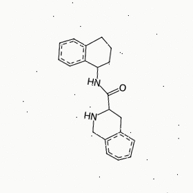 O=C(NC1CCCc2ccccc21)C1Cc2ccccc2CN1